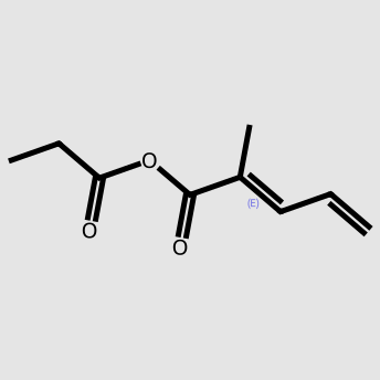 C=C/C=C(\C)C(=O)OC(=O)CC